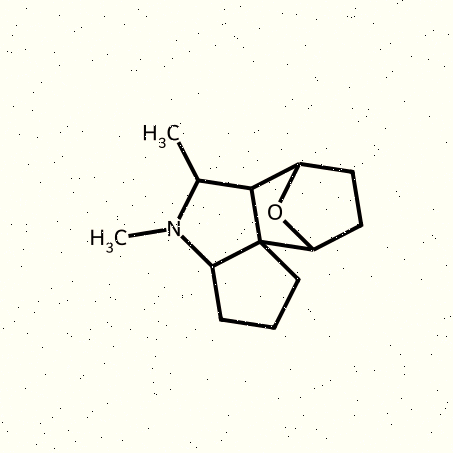 CC1C2C3CCC(O3)C23CCCC3N1C